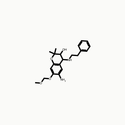 COCOc1cc2c(cc1N)C(NCCc1ccccc1)C(O)C(C)(C)O2